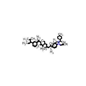 C#CCNC1C=CC(C)(C(C)CC(C)CC(CC)C(=C)C(C)CC(C)C2CCCC(C(CC)C(=C)C)C2)CC1(C)CCC(C)C1CCC(C)CC1